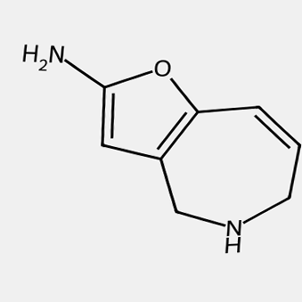 Nc1cc2c(o1)C=CCNC2